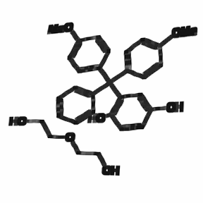 COc1ccc(C(c2ccccc2)(c2ccc(OC)cc2)c2cc(O)ccc2O)cc1.OCCOCCO